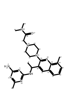 Cc1nc(N)nc(NC(C)c2cc3cccc(C)c3nc2N2CCN(CC(=O)N(C)C)CC2)n1